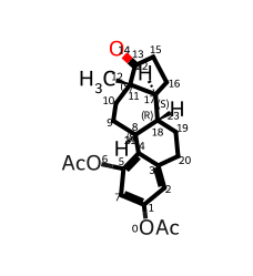 CC(=O)Oc1cc2c(c(OC(C)=O)c1)[C@H]1CC[C@]3(C)C(=O)CC[C@H]3[C@@H]1CC2